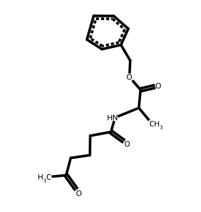 CC(=O)CCCC(=O)NC(C)C(=O)OCc1ccccc1